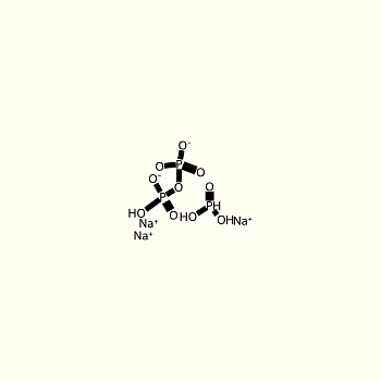 O=P([O-])([O-])OP(=O)([O-])O.O=[PH](O)O.[Na+].[Na+].[Na+]